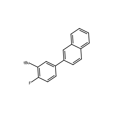 CC(C)(C)c1cc(-c2ccc3ccccc3c2)ccc1F